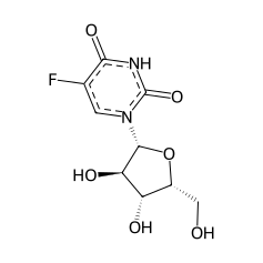 O=c1[nH]c(=O)n([C@@H]2O[C@H](CO)[C@H](O)[C@H]2O)cc1F